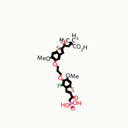 COc1cc2sc(C(=O)CC(C)(C)C(=O)O)cc2cc1OCCCOc1c(OC)cc2sc(C(=O)CP(=O)(O)O)cc2c1F